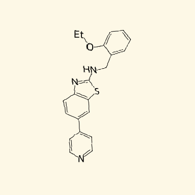 CCOc1ccccc1CNc1nc2ccc(-c3ccncc3)cc2s1